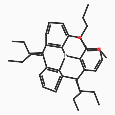 CCCCc1cccc(CCCC)c1P(c1c(CCCC)cccc1CCCC)c1c(CCCC)cccc1CCCC